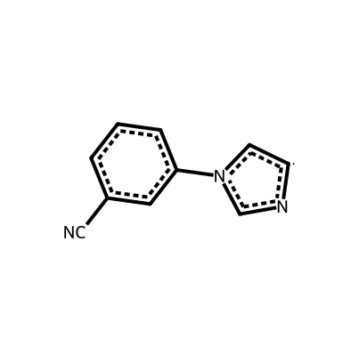 N#Cc1cccc(-n2c[c]nc2)c1